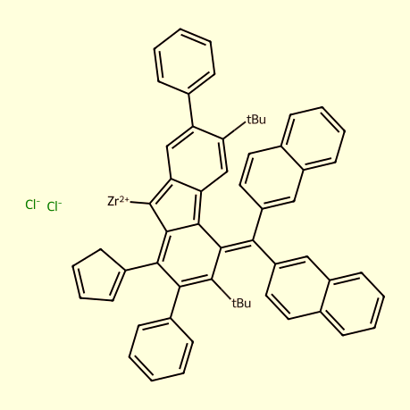 CC(C)(C)c1cc2c(cc1-c1ccccc1)=[C]([Zr+2])c1c(C3=CC=CC3)c(-c3ccccc3)c(C(C)(C)C)c(=C(c3ccc4ccccc4c3)c3ccc4ccccc4c3)c1=2.[Cl-].[Cl-]